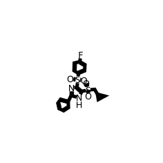 O=S(=O)(CC1CC1)c1[nH]c(-c2ccccc2)nc1S(=O)(=O)c1ccc(F)cc1